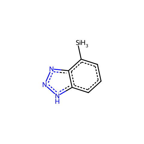 [SiH3]c1cccc2[nH]nnc12